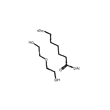 CCCCCCCCCCCCCCCC(=O)OC(C)=O.OCCOCCO